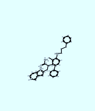 Cc1c(NCCCc2ccccc2)ccc(-c2ccccc2)c1C(Cc1cc2cnccc2[nH]1)C(N)=O